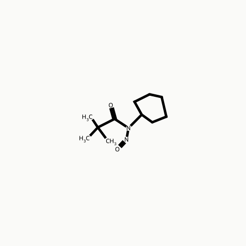 CC(C)(C)C(=O)N(N=O)C1CCCCC1